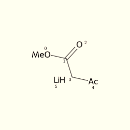 COC(=O)CC(C)=O.[LiH]